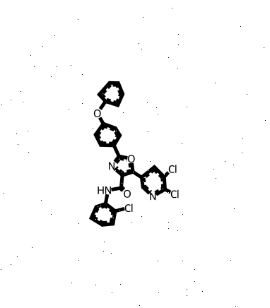 O=C(Nc1ccccc1Cl)c1nc(-c2ccc(Oc3ccccc3)cc2)oc1-c1cnc(Cl)c(Cl)c1